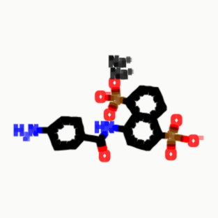 Nc1ccc(C(=O)Nc2ccc(S(=O)(=O)[O-])c3cccc(S(=O)(=O)[O-])c23)cc1.[Na+].[Na+]